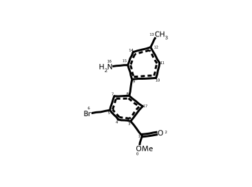 COC(=O)c1cc(Br)cc(-c2ccc(C)cc2N)c1